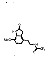 COc1ccc(CCNC(=O)C(F)(F)F)c2c1NC(=O)C2